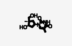 Cc1cn([C@H]2C[C@H](O)[C@@](C)(CO)C2)c(=O)[nH]c1=O